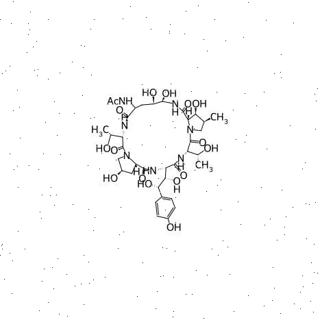 CC(=O)NC1C[C@@H](O)[C@@H](O)NC(=O)[C@@H]2[C@@H](O)[C@@H](C)CN2C(=O)[C@H]([C@@H](C)O)NC(=O)[C@H]([C@H](O)[C@@H](O)c2ccc(O)cc2)NC(=O)[C@@H]2C[C@@H](O)CN2C(=O)[C@H]([C@@H](C)O)NC1=O